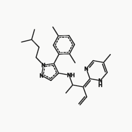 C=C/C(=C1/N=CC(C)=CN1)C(C)Nc1cnn(CCC(C)C)c1-c1cc(C)ccc1C